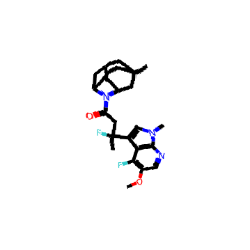 COc1cnc2c(c(C(C)(F)CC(=O)N3C4CC5CC3CC(C)(C5)C4)cn2C)c1F